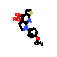 COc1ccc(N2CCC3(O)C(=O)c4ccsc4N=C23)cc1